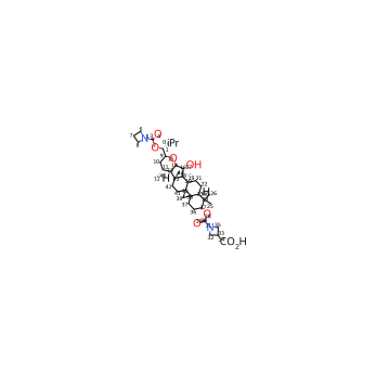 CC(C)[C@@H](OC(=O)N1CCC1)C1C[C@@H](C)[C@H]2C(O1)[C@H](O)[C@@]1(C)C3CC[C@H]4C(C)(C)[C@@H](OC(=O)N5CC(C(=O)O)C5)CCC45C[C@@]35CC[C@]21C